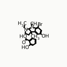 CCN1CCC2(C)c3cc(O)cc(Br)c3N(C)C12.O=C(O)c1ccccc1O